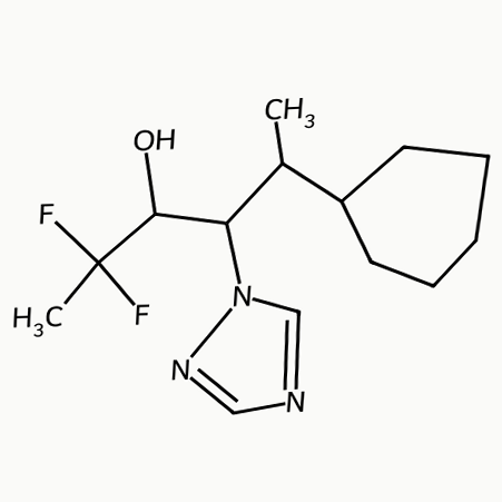 CC(C1CCCCC1)C(C(O)C(C)(F)F)n1cncn1